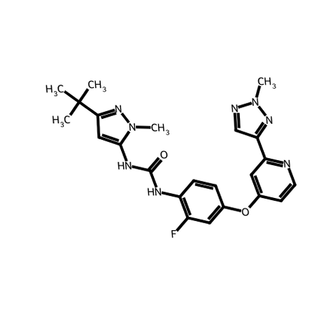 Cn1ncc(-c2cc(Oc3ccc(NC(=O)Nc4cc(C(C)(C)C)nn4C)c(F)c3)ccn2)n1